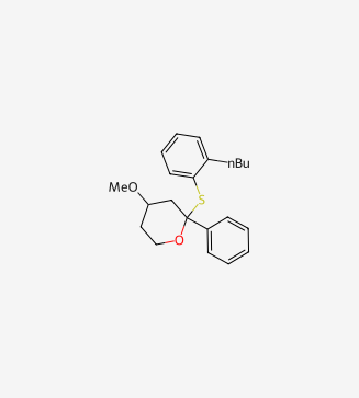 CCCCc1ccccc1SC1(c2ccccc2)CC(OC)CCO1